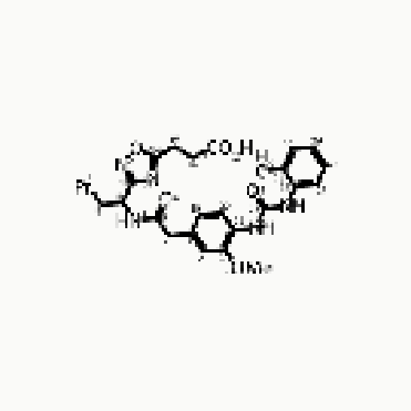 COc1cc(CC(=O)NC(CC(C)C)c2noc(CCC(=O)O)n2)ccc1NC(=O)Nc1ccccc1C